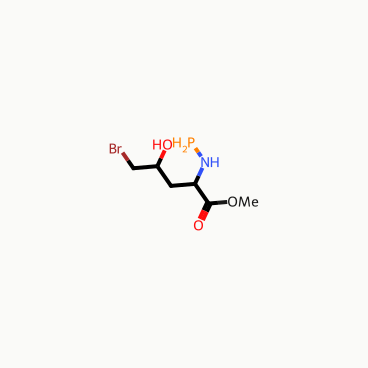 COC(=O)C(CC(O)CBr)NP